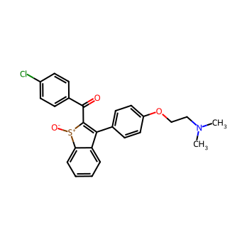 CN(C)CCOc1ccc(-c2c(C(=O)c3ccc(Cl)cc3)[s+]([O-])c3ccccc23)cc1